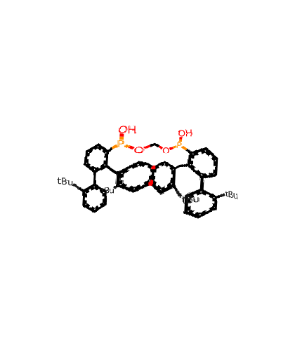 CC(C)(C)c1ccccc1-c1cccc(P(O)OCOP(O)c2cccc(-c3ccccc3C(C)(C)C)c2-c2ccccc2C(C)(C)C)c1-c1ccccc1C(C)(C)C